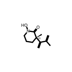 C=C(C)C(=C)[C@]1(C)CCCN(O)C1=O